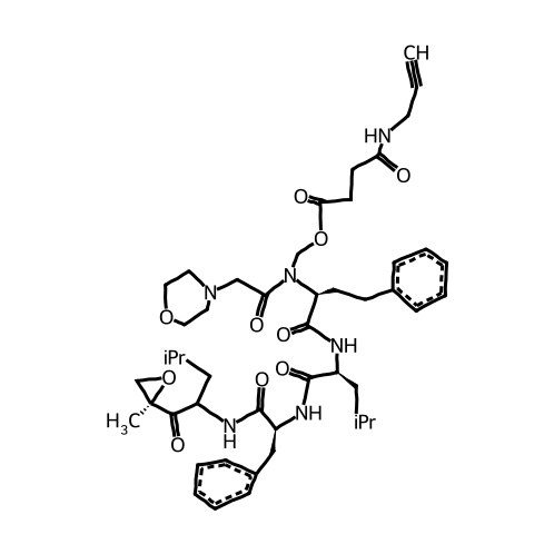 C#CCNC(=O)CCC(=O)OCN(C(=O)CN1CCOCC1)[C@@H](CCc1ccccc1)C(=O)N[C@@H](CC(C)C)C(=O)N[C@@H](Cc1ccccc1)C(=O)NC(CC(C)C)C(=O)[C@@]1(C)CO1